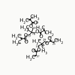 C=C(C)C(=O)OCC(CC)(COC(=O)C(=C)C)COC(=O)C(=C)C.C=CC(=O)OCC(C)(C)COC(=O)C=C